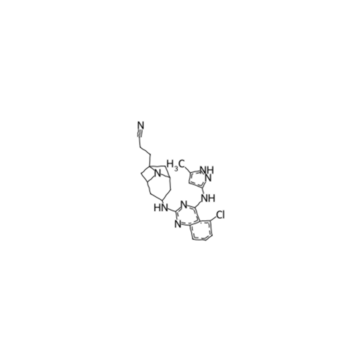 Cc1cc(Nc2nc(NC3CC4CC5(CCC#N)CC(C3)N45)nc3cccc(Cl)c23)n[nH]1